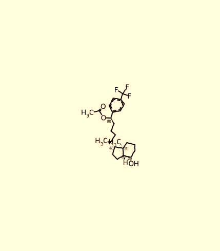 CC(=O)O[C@H](CCCC(C)[C@H]1CC[C@H]2[C@@H](O)CCC[C@]12C)c1ccc(C(F)(F)F)cc1